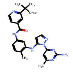 COC(C)(C)c1cc(C(=O)Nc2ccc(C)c(Nc3ccnn3-c3cc(C)nc(N)n3)c2)ccn1